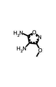 COc1noc(N)c1N